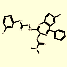 CN(C)C(=O)OC1N=C(c2ccccc2)c2cc(Cl)ccc2N=C1NOC(=O)Nc1cccc(Cl)c1